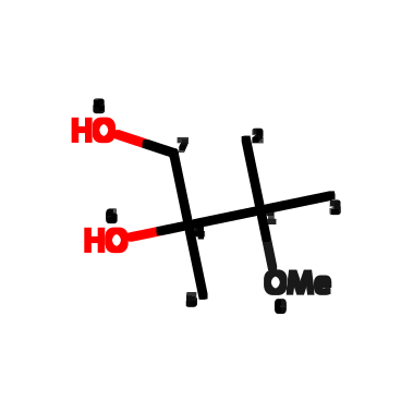 COC(C)(C)C(C)(O)CO